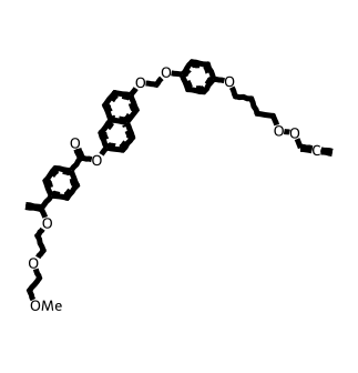 C=C=COOCCCCOc1ccc(OCOc2ccc3cc(OC(=O)c4ccc(C(=C)OCCOCCOC)cc4)ccc3c2)cc1